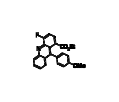 CCOC(=O)c1ccc(F)c2nc3ccccc3c(-c3ccc(OC)cc3)c12